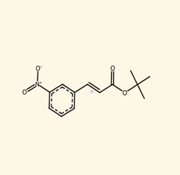 CC(C)(C)OC(=O)/C=C/c1cccc([N+](=O)[O-])c1